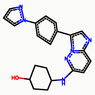 OC1CCC(Nc2ccc3ncc(-c4ccc(-n5cccn5)cc4)n3n2)CC1